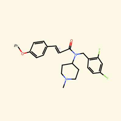 CC(C)Oc1ccc(/C=C/C(=O)N(Cc2ccc(F)cc2F)C2CCN(C)CC2)cc1